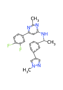 Cc1nc(NC(C)c2cccc(-c3cnn(C)c3)c2)cc(-c2ccc(F)c(F)c2)n1